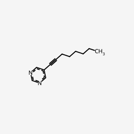 CCCCCCC#Cc1cncnc1